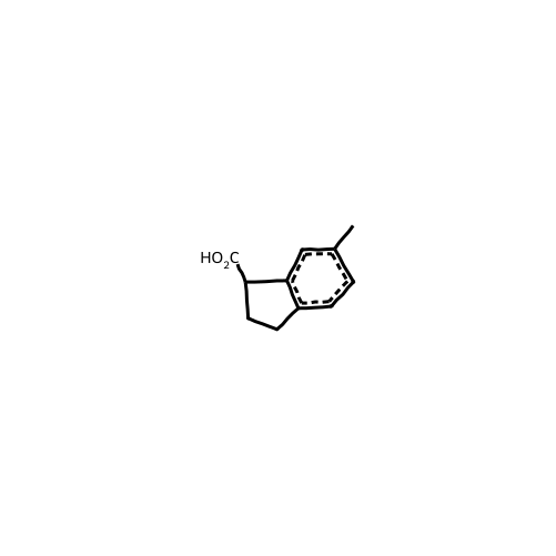 Cc1ccc2c(c1)C(C(=O)O)CC2